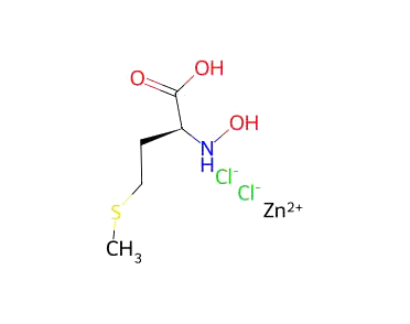 CSCC[C@H](NO)C(=O)O.[Cl-].[Cl-].[Zn+2]